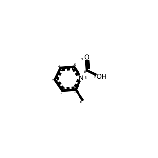 Cc1ccccn1.O=CO